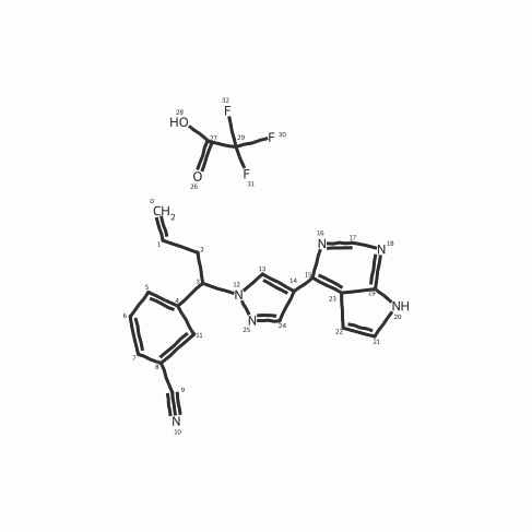 C=CCC(c1cccc(C#N)c1)n1cc(-c2ncnc3[nH]ccc23)cn1.O=C(O)C(F)(F)F